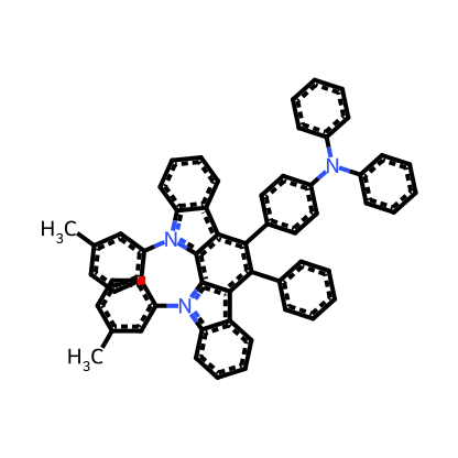 Cc1cccc(-n2c3ccccc3c3c(-c4ccccc4)c(-c4ccc(N(c5ccccc5)c5ccccc5)cc4)c4c5ccccc5n(-c5cccc(C)c5)c4c32)c1